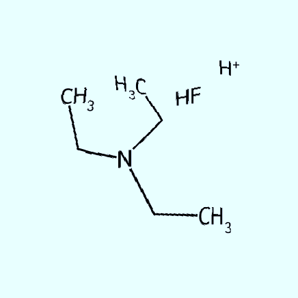 CCN(CC)CC.F.[H+]